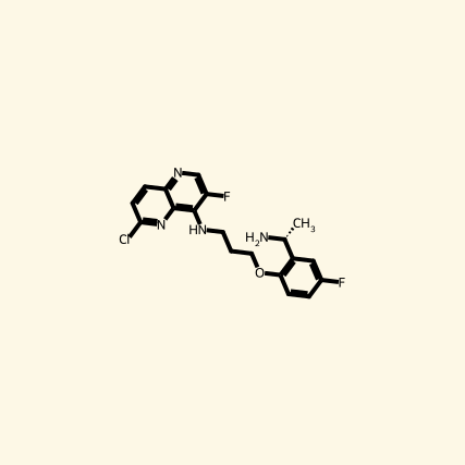 C[C@@H](N)c1cc(F)ccc1OCCCNc1c(F)cnc2ccc(Cl)nc12